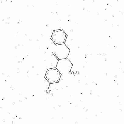 CCOC(=O)CN(Cc1ccccc1)C(=O)c1ccc([N+](=O)[O-])cc1